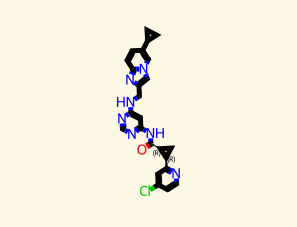 O=C(Nc1cc(NCc2cn3cc(C4CC4)ccc3n2)ncn1)[C@@H]1C[C@H]1c1cc(Cl)ccn1